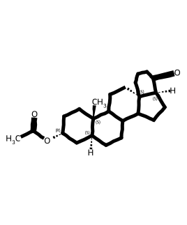 CC(=O)O[C@@H]1CC[C@]2(C)C3CC[C@]45CCCC(=O)[C@H]4CCC5C3CC[C@H]2C1